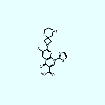 O=C(O)c1cn(-c2nccs2)c2nc(N3CC4(CNCCO4)C3)c(F)cc2c1=O